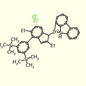 CCC1=Cc2c(ccc(CC)c2-c2cc([Si](C)(C)C)cc([Si](C)(C)C)c2)[CH]1[Zr+2]1[c]2cccc3c2[SiH]1c1ccccc1-3.[Cl-].[Cl-]